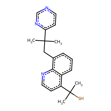 CC(C)(S)c1ccnc2c(CC(C)(C)c3ccncn3)cccc12